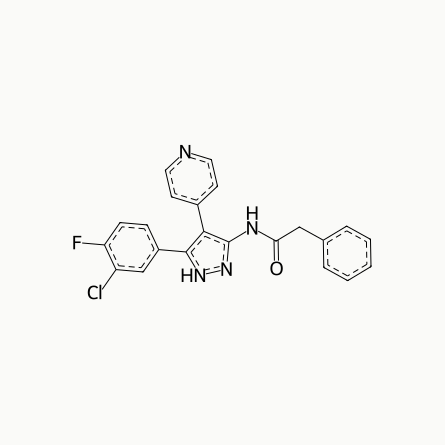 O=C(Cc1ccccc1)Nc1n[nH]c(-c2ccc(F)c(Cl)c2)c1-c1ccncc1